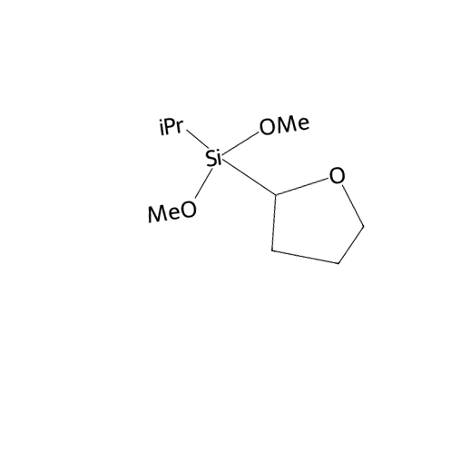 CO[Si](OC)(C(C)C)C1CCCO1